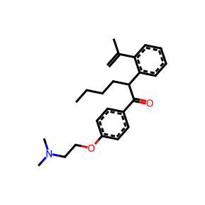 C=C(C)c1ccccc1C(CCCC)C(=O)c1ccc(OCCN(C)C)cc1